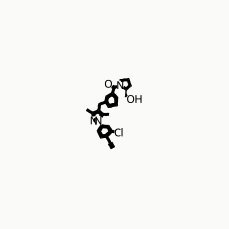 C#Cc1ccc(-n2nc(C)c(Cc3cccc(C(=O)N4CCC[C@H]4CO)c3)c2C)cc1Cl